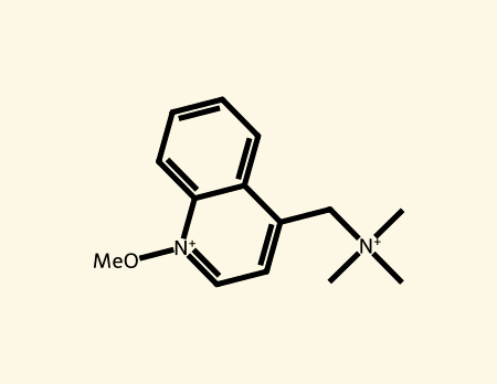 CO[n+]1ccc(C[N+](C)(C)C)c2ccccc21